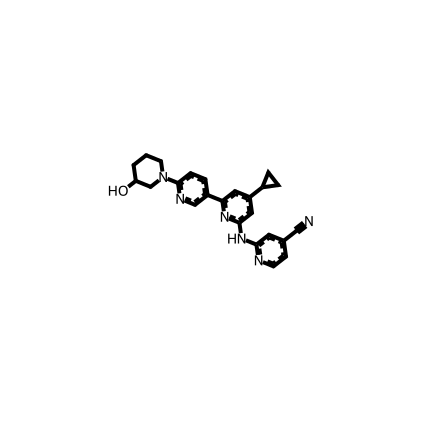 N#Cc1ccnc(Nc2cc(C3CC3)cc(-c3ccc(N4CCCC(O)C4)nc3)n2)c1